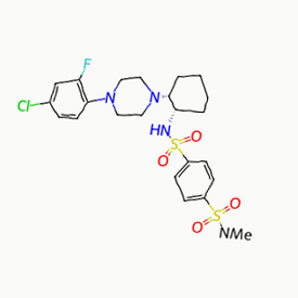 CNS(=O)(=O)c1ccc(S(=O)(=O)N[C@H]2CCCC[C@H]2N2CCN(c3ccc(Cl)cc3F)CC2)cc1